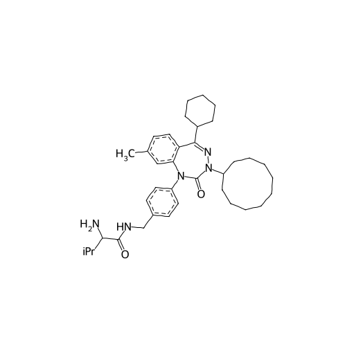 Cc1ccc2c(c1)N(c1ccc(CNC(=O)C(N)C(C)C)cc1)C(=O)N(C1CCCCCCCCC1)N=C2C1CCCCC1